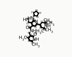 Cc1cc(C)c(CNC(=O)c2cc(C3=CC(C)(C)NC(C)(C)C3)nc(NC3CCCC3)c2C=N)c(=O)[nH]1